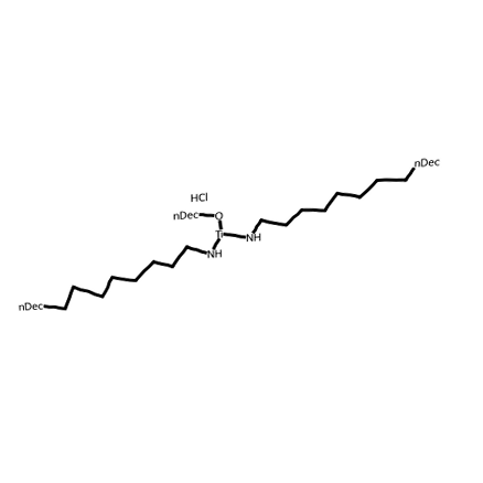 CCCCCCCCCCCCCCCCCC[NH][Ti]([NH]CCCCCCCCCCCCCCCCCC)[O]CCCCCCCCCC.Cl